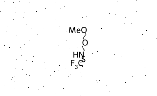 COCCOCCNSC(F)(F)F